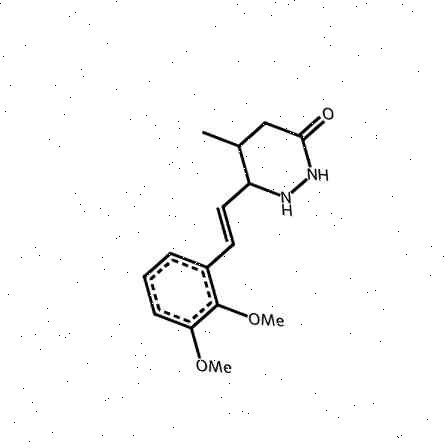 COc1cccc(/C=C/C2NNC(=O)CC2C)c1OC